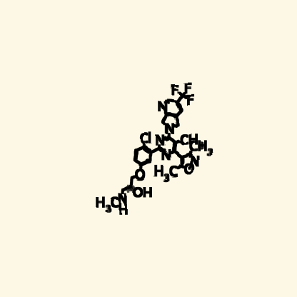 CNC[C@@H](O)COc1ccc(Cl)c(-c2nc(-c3c(C)noc3C)c(C)c(N3Cc4cc(C(F)(F)F)cnc4C3)n2)c1